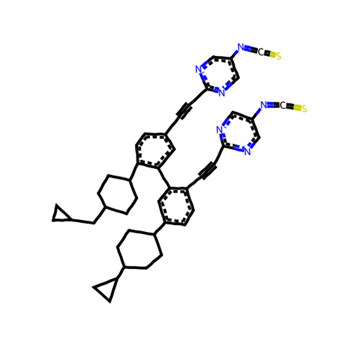 S=C=Nc1cnc(C#Cc2ccc(C3CCC(CC4CC4)CC3)c(-c3cc(C4CCC(C5CC5)CC4)ccc3C#Cc3ncc(N=C=S)cn3)c2)nc1